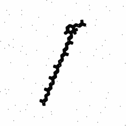 CC(C)=CCC/C(C)=C/C=C/C(C)=C/C=C/C(C)=C/C=C/C=C(C)/C=C/C=C(C)/C=C/C1C(C)=CCC(CC=C(C)C)C1(C)C